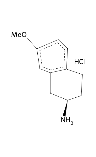 COc1ccc2c(c1)C[C@H](N)CC2.Cl